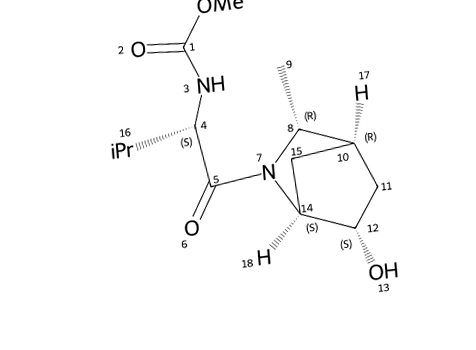 COC(=O)N[C@H](C(=O)N1[C@H](C)[C@H]2C[C@H](O)[C@@H]1C2)C(C)C